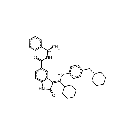 C[C@@H](NC(=O)c1ccc2c(c1)C(=C(Nc1ccc(CN3CCCCC3)cc1)C1CCCCC1)C(=O)N2)c1ccccc1